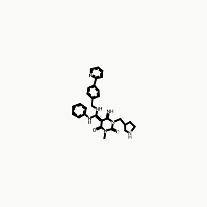 CN1C(=O)/C(=C(/NCc2ccc(-c3ccccn3)cc2)Nc2ccccc2)C(=N)N(CC2CCNC2)C1=O